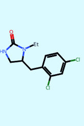 CCN1C(=O)NCC1Cc1ccc(Cl)cc1Cl